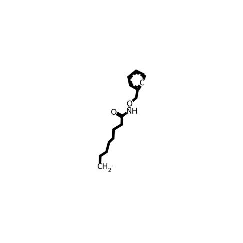 [CH2]CCCCCCC(=O)NOCc1ccccc1